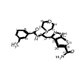 Cc1cccc(C(=O)NC(Cc2n[nH]c3sc(C(N)=O)cc23)N2CCOCC2)c1